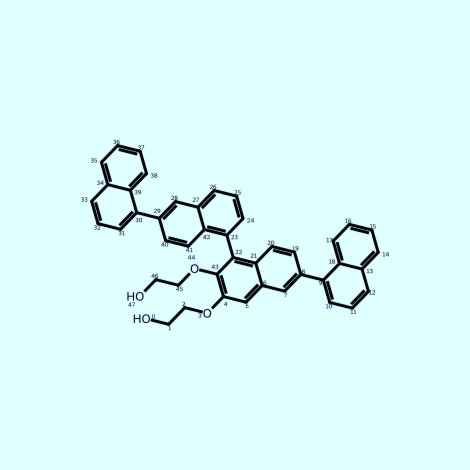 OCCOc1cc2cc(-c3cccc4ccccc34)ccc2c(-c2cccc3cc(-c4cccc5ccccc45)ccc23)c1OCCO